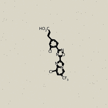 O=C(O)C=Cc1ccc(-c2noc(-c3cn4cc(C(F)(F)F)cc(Cl)c4n3)n2)c(Cl)c1